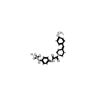 COc1ccc(C=C2CCN(C(=O)C(=O)Nc3ccc(NS(C)(=O)=O)cc3)CC2)cc1